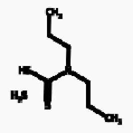 CCCN(CCC)C(=S)S.S